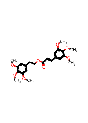 COc1cc(/C=C/C(=O)OCCc2cc(OC)c(OC)c(OC)c2)cc(OC)c1OC